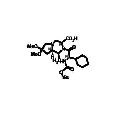 COC1(OC)C[C@@H]2C(C)N(C(=O)[C@@H](NC(=O)OC(C)(C)C)C3CCCCC3)[C@H](C(=O)O)CN2C1